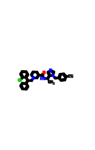 C[C@H](NC(=O)C1CCCN(CC(c2ccccc2)c2ccccc2Cl)C1)c1cncn1Cc1ccc(C#N)cc1